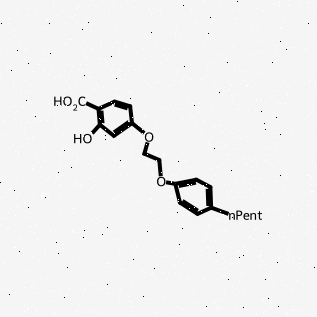 CCCCCc1ccc(OCCOc2ccc(C(=O)O)c(O)c2)cc1